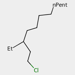 CCCCCCCCCC(CC)CCCl